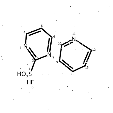 F.O=S(=O)(O)c1ncccn1.c1ccncc1